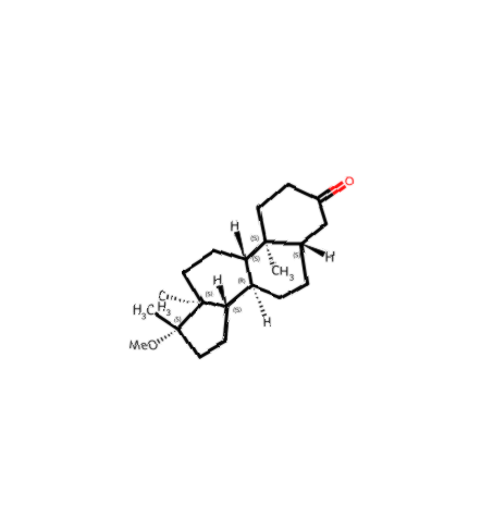 CO[C@@]1(C)CC[C@H]2[C@@H]3CC[C@H]4CC(=O)CC[C@]4(C)[C@H]3CC[C@@]21C